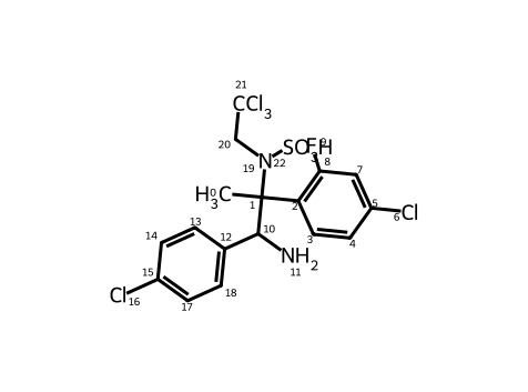 CC(c1ccc(Cl)cc1F)(C(N)c1ccc(Cl)cc1)N(CC(Cl)(Cl)Cl)S(=O)(=O)O